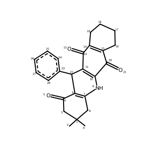 CC1(C)CC(=O)C2=C(C1)NC1=C(C(=O)C3=C(CCCC3)C1=O)C2c1ccccc1